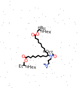 CCCCCCCCC(=O)N(CCCN(C)C)C(CCCCCCCCC(=O)OCC(CC)CCCCCC)CCCCCCCCC(=O)OCC(CCCC)CCCCCC